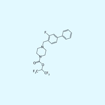 O=C(OC(C(F)(F)F)C(F)(F)F)N1CCN(Cc2ccc(-c3ccccc3)cc2F)CC1